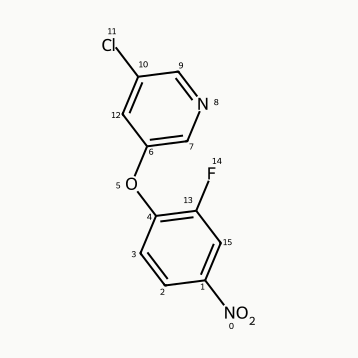 O=[N+]([O-])c1ccc(Oc2cncc(Cl)c2)c(F)c1